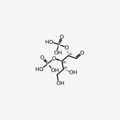 O=C[C@@H](OP(=O)(O)O)[C@H](OP(=O)(O)O)[C@H](O)CO